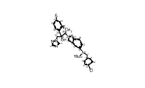 C[C@@H](n1cc2cc(N(Cc3ccc(Cl)cc3)C(C)(C)C)ccc2n1)[C@](O)(Cn1cncn1)c1ccc(F)cc1F